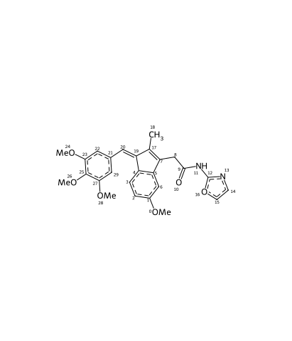 COc1ccc2c(c1)C(CC(=O)Nc1ncco1)=C(C)/C2=C/c1cc(OC)c(OC)c(OC)c1